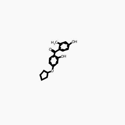 Cc1[c]c(O)ccc1C(=O)c1ccc(OC2CCCC2)cc1O